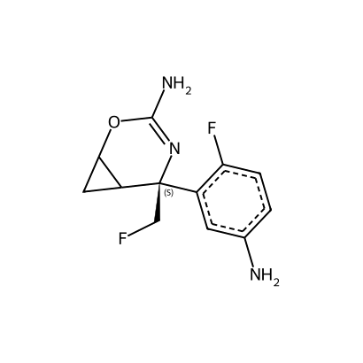 NC1=N[C@](CF)(c2cc(N)ccc2F)C2CC2O1